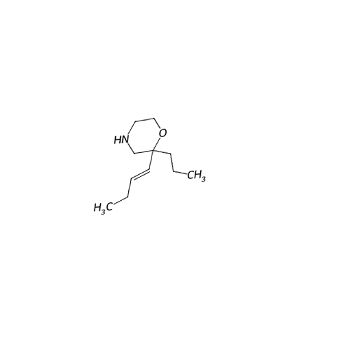 CCC=CC1(CCC)CNCCO1